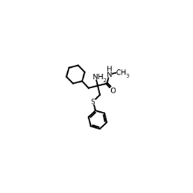 CNC(=O)C(N)(CSc1ccccc1)CC1CCCCC1